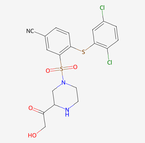 N#Cc1ccc(Sc2cc(Cl)ccc2Cl)c(S(=O)(=O)N2CCNC(C(=O)CO)C2)c1